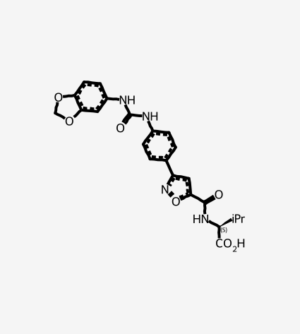 CC(C)[C@H](NC(=O)c1cc(-c2ccc(NC(=O)Nc3ccc4c(c3)OCO4)cc2)no1)C(=O)O